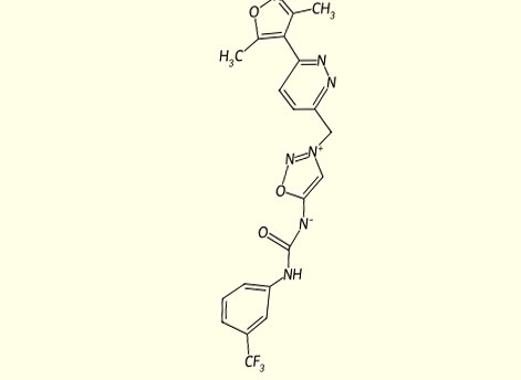 Cc1noc(C)c1-c1ccc(C[n+]2cc([N-]C(=O)Nc3cccc(C(F)(F)F)c3)on2)nn1